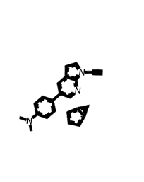 C#Cn1ccc2cc(-c3ccc(N(C)C)cc3)cnc21.c1cc2cc-2c1